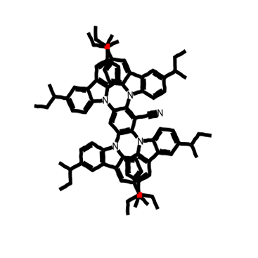 CCC(C)c1ccc2c(c1)c1cc(C(C)CC)ccc1n2-c1cc(-n2c3ccc(C(C)CC)cc3c3cc(C(C)CC)ccc32)c(-n2c3ccc(C(C)CC)cc3c3cc(C(C)CC)ccc32)c(C#N)c1-n1c2ccc(C(C)CC)cc2c2cc(C(C)CC)ccc21